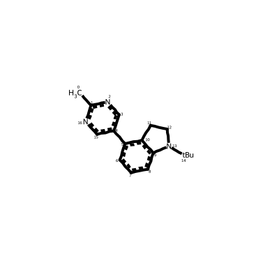 Cc1ncc(-c2cccc3c2CCN3C(C)(C)C)cn1